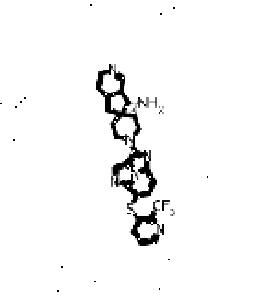 N[C@H]1C2C=NC=CC2CC12CCN(c1nc3ccc(Sc4cccnc4C(F)(F)F)c4ncc1n34)CC2